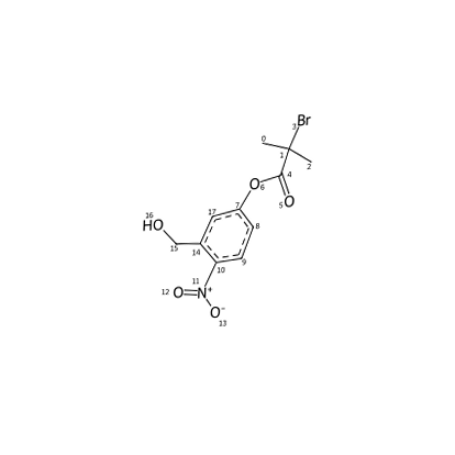 CC(C)(Br)C(=O)Oc1ccc([N+](=O)[O-])c(CO)c1